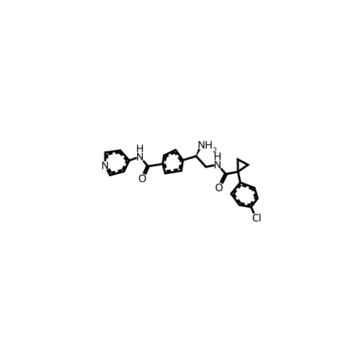 N[C@@H](CNC(=O)C1(c2ccc(Cl)cc2)CC1)c1ccc(C(=O)Nc2ccncc2)cc1